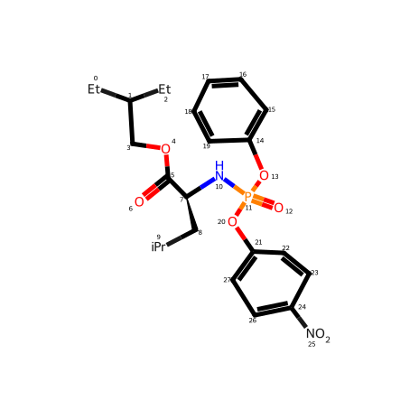 CCC(CC)COC(=O)[C@H](CC(C)C)NP(=O)(Oc1ccccc1)Oc1ccc([N+](=O)[O-])cc1